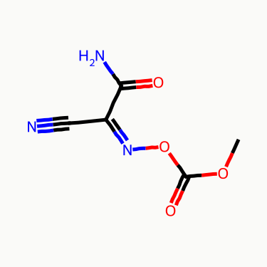 COC(=O)ON=C(C#N)C(N)=O